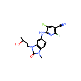 CC(O)CCn1c(=O)n(C)c2ccc(Nc3nc(Cl)c(C#N)cc3F)cc21